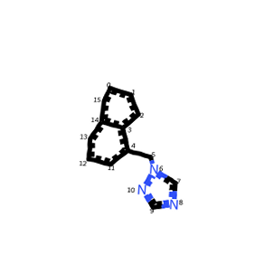 c1ccc2c(Cn3cncn3)cccc2c1